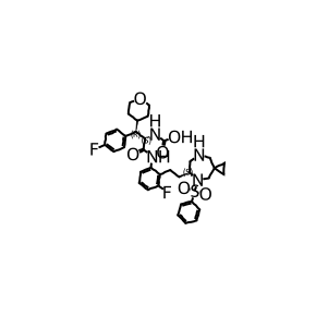 O=C(O)N[C@H](C(=O)Nc1cccc(F)c1CC[C@H]1CNCC2(CC2)CN1S(=O)(=O)c1ccccc1)[C@@H](c1ccc(F)cc1)C1CCOCC1